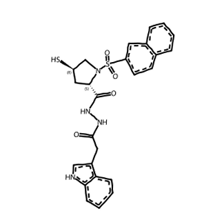 O=C(Cc1c[nH]c2ccccc12)NNC(=O)[C@@H]1C[C@@H](S)CN1S(=O)(=O)c1ccc2ccccc2c1